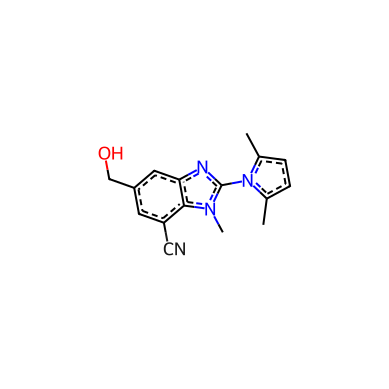 Cc1ccc(C)n1-c1nc2cc(CO)cc(C#N)c2n1C